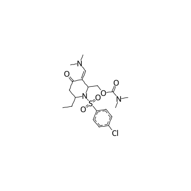 CCC1CC(=O)/C(=C\N(C)C)C(COC(=O)N(C)C)N1S(=O)(=O)c1ccc(Cl)cc1